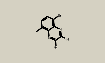 [2H]c1nc2c(C)ccc(Br)c2nc1[2H]